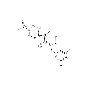 C=C/C(Cc1cc(F)cc(F)c1)=C(\N(C)C1CCC(C(=C)C)CC1)C(F)(F)F